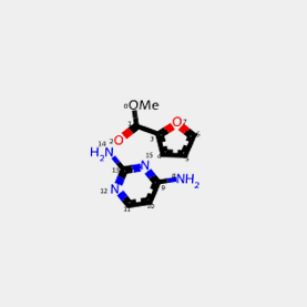 COC(=O)c1ccco1.Nc1ccnc(N)n1